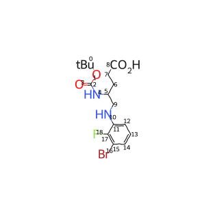 CC(C)(C)OC(=O)NC(CCC(=O)O)CNc1cccc(Br)c1F